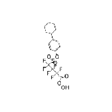 O=C(OO)C(F)(F)C(F)(F)C(F)(F)S(=O)(=O)Oc1ccc(C2CCCCC2)cc1